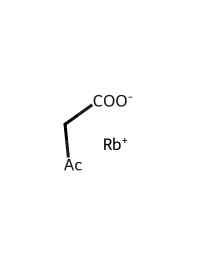 CC(=O)CC(=O)[O-].[Rb+]